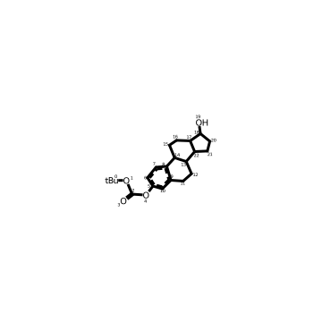 CC(C)(C)OC(=O)Oc1ccc2c(c1)CCC1C2CCC2C(O)CCC21